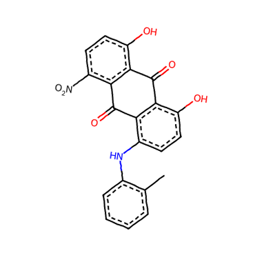 Cc1ccccc1Nc1ccc(O)c2c1C(=O)c1c([N+](=O)[O-])ccc(O)c1C2=O